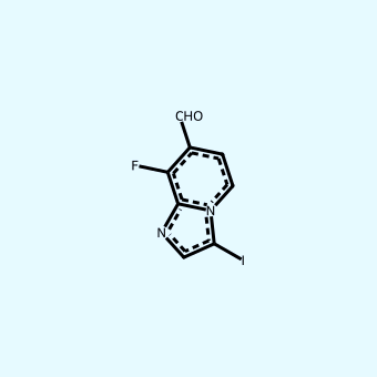 O=Cc1ccn2c(I)cnc2c1F